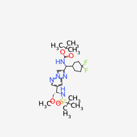 COC[C@@H](N[S@+]([O-])C(C)(C)C)c1cnn2cc([C@@H](NC(=O)OC(C)(C)C)C3CCC(F)(F)CC3)nc2c1